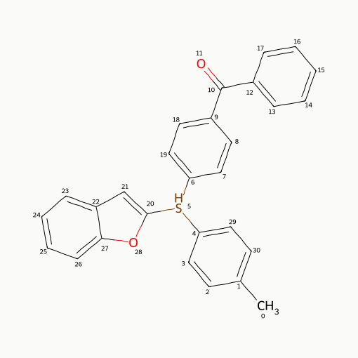 Cc1ccc([SH](c2ccc(C(=O)c3ccccc3)cc2)c2cc3ccccc3o2)cc1